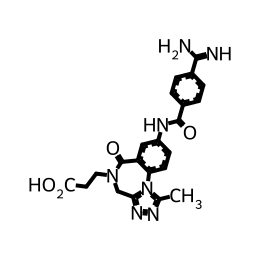 Cc1nnc2n1-c1ccc(NC(=O)c3ccc(C(=N)N)cc3)cc1C(=O)N(CCC(=O)O)C2